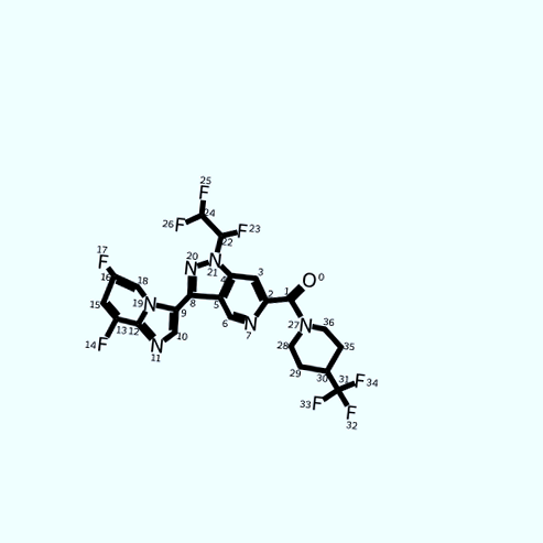 O=C(c1cc2c(cn1)c(-c1cnc3c(F)cc(F)cn13)nn2C(F)C(F)F)N1CCC(C(F)(F)F)CC1